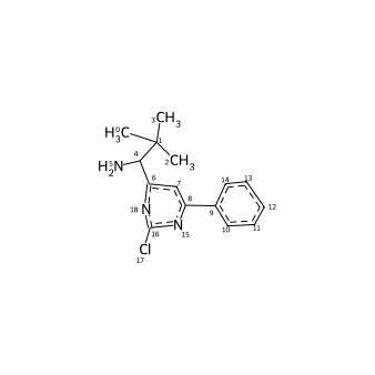 CC(C)(C)C(N)c1cc(-c2ccccc2)nc(Cl)n1